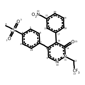 CS(=O)(=O)c1ccc(-c2cnn(CC(F)(F)F)c(=O)c2-c2cccc([N+](=O)[O-])c2)cc1